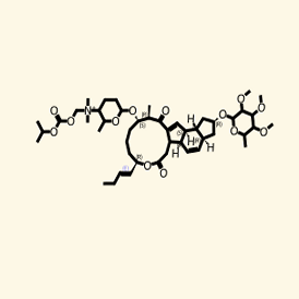 CC/C=C/[C@H]1CCC[C@H](OC2CCC([N+](C)(C)COC(=O)OC(C)C)C(C)O2)[C@@H](C)C(=O)C2=C[C@H]3[C@@H]4C[C@H](OC5OC(C)C(OC)C(OC)C5OC)C[C@H]4C=C[C@H]3C2CC(=O)O1